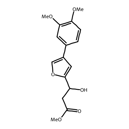 COC(=O)CC(O)c1cc(-c2ccc(OC)c(OC)c2)co1